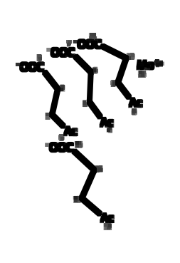 CC(=O)CCC(=O)[O-].CC(=O)CCC(=O)[O-].CC(=O)CCC(=O)[O-].CC(=O)CCC(=O)[O-].[Mo+4]